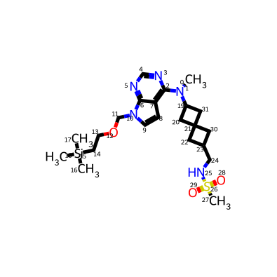 CN(c1ncnc2c1ccn2COCC[Si](C)(C)C)C1CC2(CC(CNS(C)(=O)=O)C2)C1